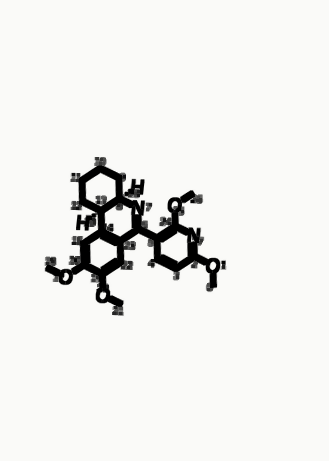 COc1ccc(C2=N[C@@H]3CCCC[C@@H]3c3cc(OC)c(OC)cc32)c(OC)n1